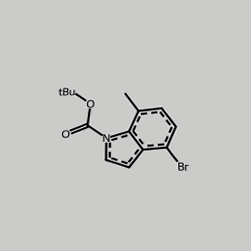 Cc1ccc(Br)c2ccn(C(=O)OC(C)(C)C)c12